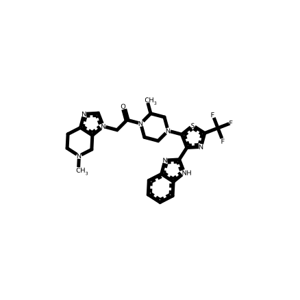 CC1CN(c2sc(C(F)(F)F)nc2-c2nc3ccccc3[nH]2)CCN1C(=O)Cn1cnc2c1CN(C)CC2